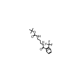 CC(C)(C)OC(=O)NCCCNC(=O)C1=C(C(F)(F)F)C2C=CC1O2